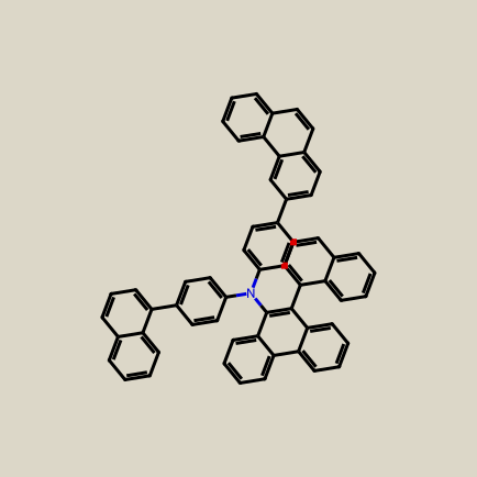 c1ccc2c(-c3ccc(N(c4ccc(-c5ccc6ccc7ccccc7c6c5)cc4)c4c(-c5cccc6ccccc56)c5ccccc5c5ccccc45)cc3)cccc2c1